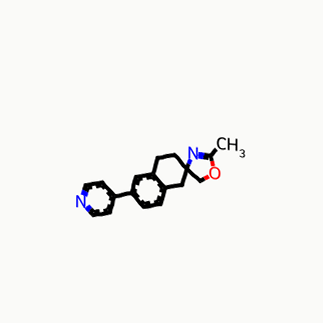 CC1=NC2(CCc3cc(-c4ccncc4)ccc3C2)CO1